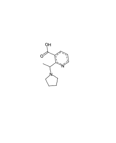 CC(c1ncccc1C(=O)O)N1CCCC1